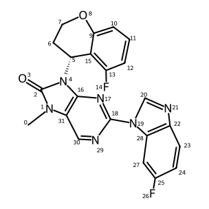 Cn1c(=O)n([C@@H]2CCOc3cccc(F)c32)c2nc(-n3cnc4ccc(F)cc43)ncc21